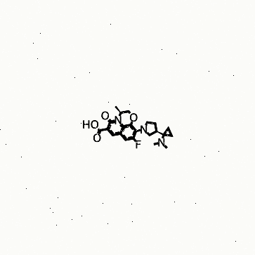 C[C@H]1COc2c(N3CC[C@@H](C4(N(C)C)CC4)C3)c(F)cc3cc(C(=O)O)c(=O)n1c23